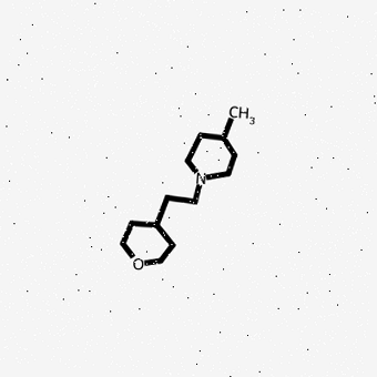 CC1CCN(CCC2CCOCC2)CC1